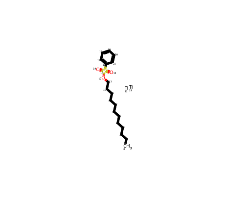 CCCCCCCCCCCCOS(=O)(=O)c1ccccc1.[Ti].[Ti]